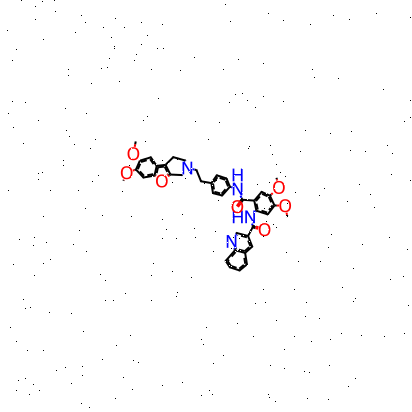 COc1cc(NC(=O)c2cnc3ccccc3c2)c(C(=O)Nc2ccc(CCN3CCc4c(oc5cc(OC)c(OC)cc45)C3)cc2)cc1OC